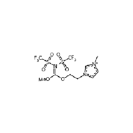 COC(OCCn1cc[n+](C)c1)=[N+](S(=O)(=O)C(F)(F)F)S(=O)(=O)C(F)(F)F